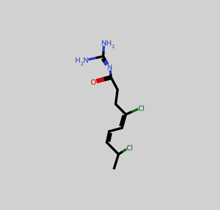 CC(Cl)/C=C\C=C(\Cl)CCC(=O)N=C(N)N